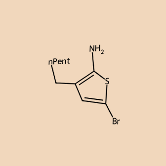 CCCCCCc1cc(Br)sc1N